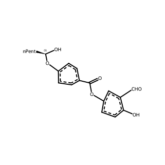 CCCCC[C@@H](O)Oc1ccc(C(=O)Oc2ccc(O)c(C=O)c2)cc1